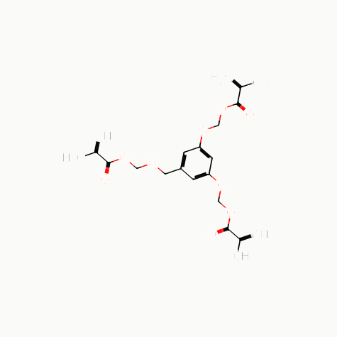 C=C(C)C(=O)OCOCc1cc(OCOC(=O)C(=C)C)cc(OCOC(=O)C(=C)C)c1